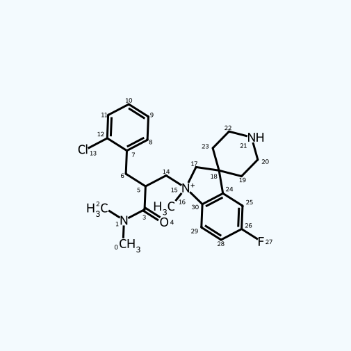 CN(C)C(=O)C(Cc1ccccc1Cl)C[N+]1(C)CC2(CCNCC2)c2cc(F)ccc21